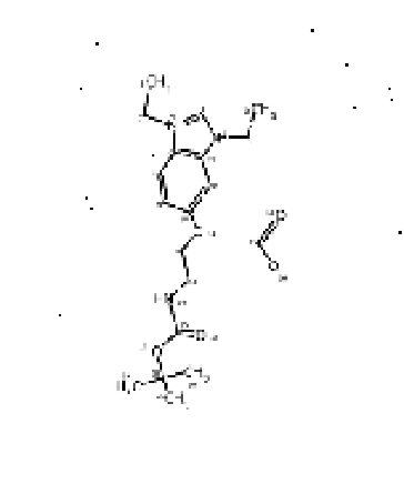 CCn1c[n+](CC)c2ccc(OCCNC(=O)OC(C)(C)C)cc21.O=C[O-]